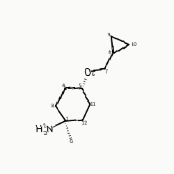 C[C@]1(N)CC[C@H](OCC2CC2)CC1